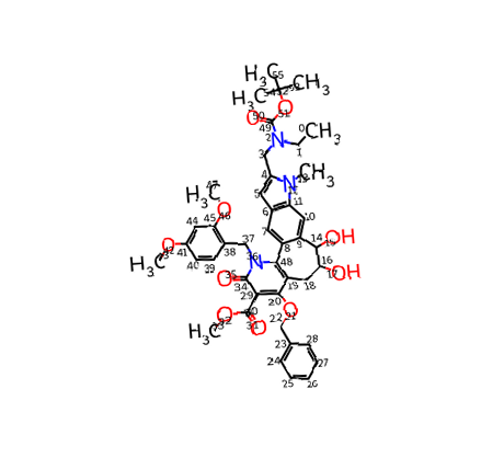 CCN(Cc1cc2cc3c(cc2n1C)C(O)C(O)Cc1c(OCc2ccccc2)c(C(=O)OC)c(=O)n(Cc2ccc(OC)cc2OC)c1-3)C(=O)OC(C)(C)C